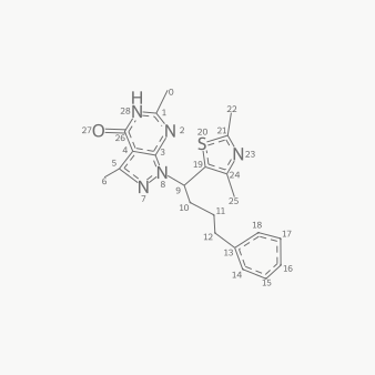 Cc1nc2c(c(C)nn2C(CCCc2ccccc2)c2sc(C)nc2C)c(=O)[nH]1